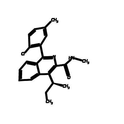 CC[C@H](C)c1c(C(=O)NC)nc(-c2cc(C)ccc2Cl)c2ccccc12